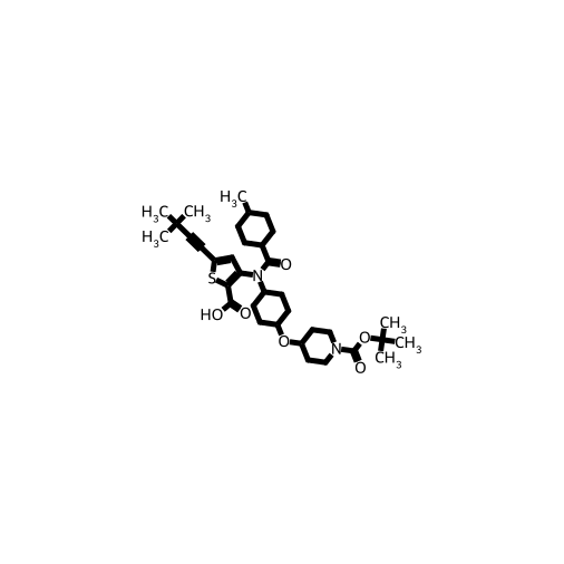 CC1CCC(C(=O)N(c2cc(C#CC(C)(C)C)sc2C(=O)O)C2CCC(OC3CCN(C(=O)OC(C)(C)C)CC3)CC2)CC1